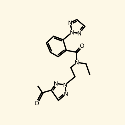 CCN(CCn1ncc(C(C)=O)n1)C(=O)c1ccccc1-n1nccn1